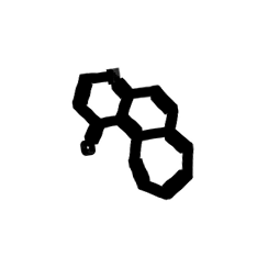 O=c1ccnc2ccc3cccccc3c12